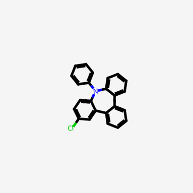 Clc1ccc2c(c1)-c1ccccc1-c1ccccc1N2c1ccccc1